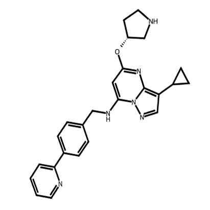 c1ccc(-c2ccc(CNc3cc(O[C@@H]4CCNC4)nc4c(C5CC5)cnn34)cc2)nc1